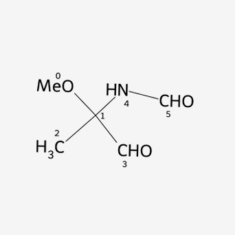 COC(C)(C=O)NC=O